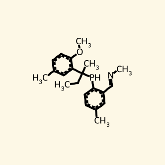 CCC(C)(Pc1ccc(C)cc1/C=N/C)c1cc(C)ccc1OC